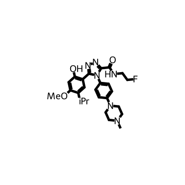 COc1cc(O)c(-c2nnc(C(=O)NCCF)n2-c2ccc(N3CCN(C)CC3)cc2)cc1C(C)C